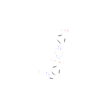 Cn1ccc2ccc(S(=O)(=O)N3CCN(c4ccc(O)cc4)CC3)cc21